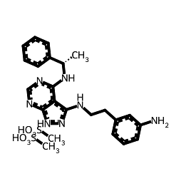 CS(=O)(=O)O.CS(=O)(=O)O.C[C@H](Nc1ncnc2[nH]nc(NCCc3cccc(N)c3)c12)c1ccccc1